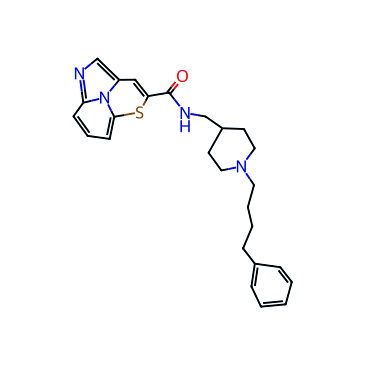 O=C(NCC1CCN(CCCCc2ccccc2)CC1)C1=Cc2cnc3cccc(n23)S1